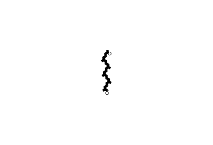 CC(=O)CCC=C(C)CCC=C(C)CCC=C(C)CCC=C(C)CCC=C(C)C=O